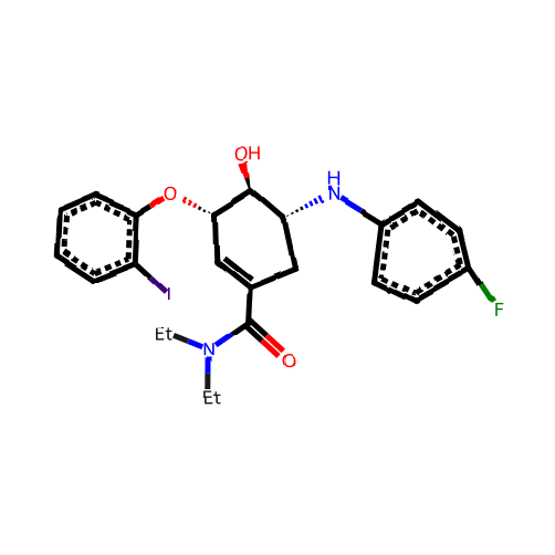 CCN(CC)C(=O)C1=C[C@H](Oc2ccccc2I)[C@@H](O)[C@H](Nc2ccc(F)cc2)C1